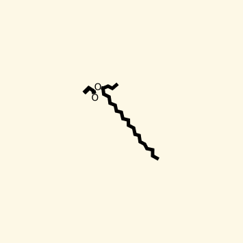 C=CC(=O)OC(CCC)CCCCCCCCCCCCCCCCCC